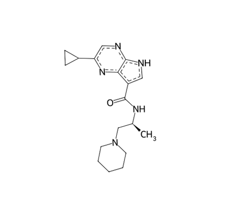 C[C@@H](CN1CCCCC1)NC(=O)c1c[nH]c2ncc(C3CC3)nc12